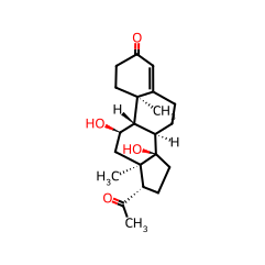 CC(=O)[C@H]1CC[C@@]2(O)[C@@H]3CCC4=CC(=O)CC[C@]4(C)[C@H]3[C@H](O)C[C@]12C